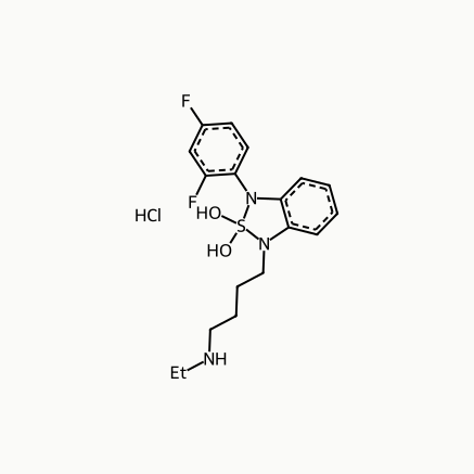 CCNCCCCN1c2ccccc2N(c2ccc(F)cc2F)S1(O)O.Cl